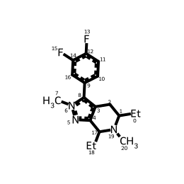 CCC1Cc2c(nn(C)c2-c2ccc(F)c(F)c2)C(CC)N1C